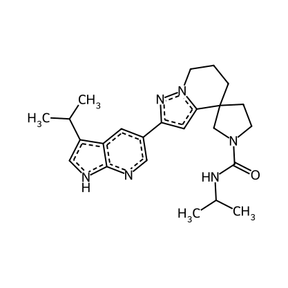 CC(C)NC(=O)N1CCC2(CCCn3nc(-c4cnc5[nH]cc(C(C)C)c5c4)cc32)C1